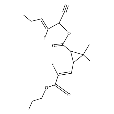 C#CC(OC(=O)C1C(C=C(F)C(=O)OCCC)C1(C)C)C(F)=CCC